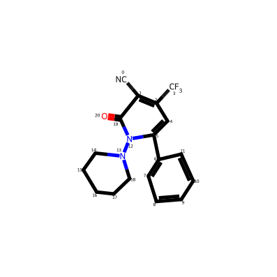 N#Cc1c(C(F)(F)F)cc(-c2ccccc2)n(N2CCCCC2)c1=O